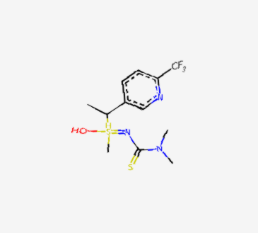 CC(c1ccc(C(F)(F)F)nc1)[SH](C)(O)=NC(=S)N(C)C